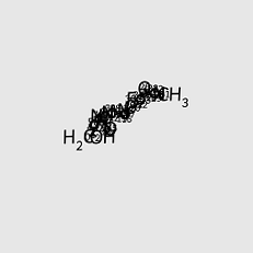 C=C(O)c1ccc2nc(CN3CCC(c4cccc(OCc5ccc(C(=O)C6CCN(C)CC6)cc5F)n4)CC3)n(CC3CCO3)c2c1